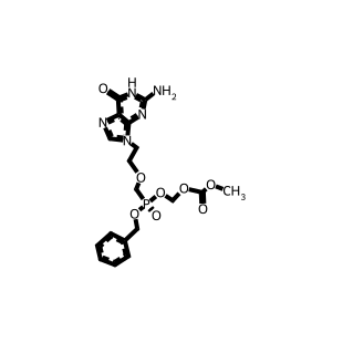 COC(=O)OCOP(=O)(COCCn1cnc2c(=O)[nH]c(N)nc21)OCc1ccccc1